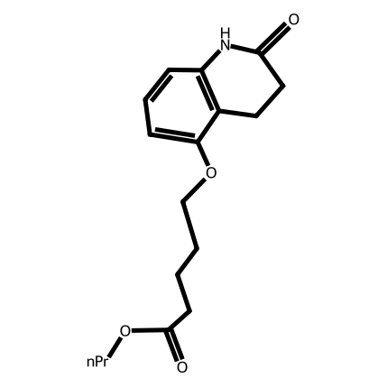 CCCOC(=O)CCCCOc1cccc2c1CCC(=O)N2